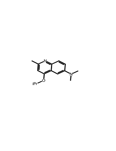 Cc1cc(OC(C)C)c2cc(N(C)C)ccc2n1